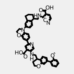 COc1ccccc1-c1ccc2c(c1)OCCC2CNc1cnc(-c2ccc3c(c2)OCCN3c2ccc3c(c2)CCCC3CNc2cnccc2C(=O)O)cc1C(=O)O